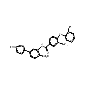 CCCc1ccccc1Oc1ccc(C(=O)Nc2cc(-c3ccc(F)cc3)ccc2C(=O)O)cc1[N+](=O)[O-]